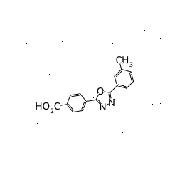 Cc1cccc(-c2nnc(-c3ccc(C(=O)O)cc3)o2)c1